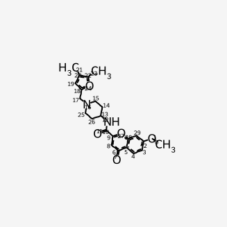 COc1ccc2c(=O)cc(C(=O)NC3CCN(Cc4cc(C)c(C)o4)CC3)oc2c1